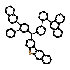 c1ccc(-c2cc(C(c3cccc(-c4ccccc4-c4cc5ccccc5c5ccccc45)c3)c3ccc4sc5cc6ccccc6cc5c4c3)ccc2-c2ccc3ccccc3c2)cc1